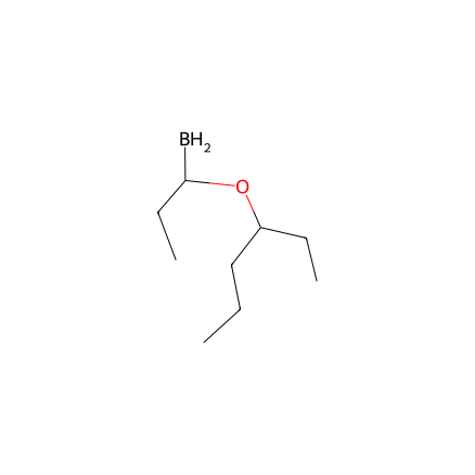 BC(CC)OC(CC)CCC